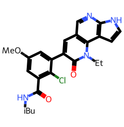 CCC(C)NC(=O)c1cc(OC)cc(-c2cc3cnc4[nH]ccc4c3n(CC)c2=O)c1Cl